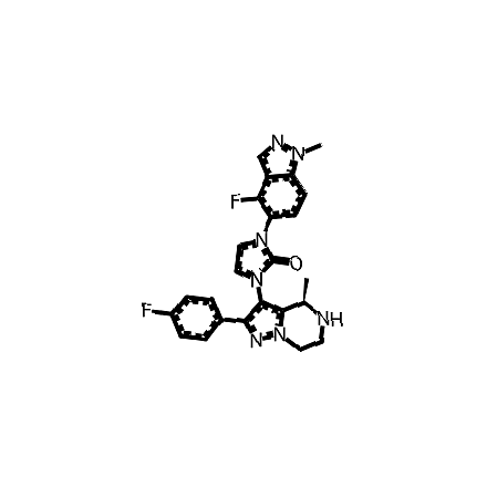 C[C@H]1NCCn2nc(-c3ccc(F)cc3)c(-n3ccn(-c4ccc5c(cnn5C)c4F)c3=O)c21